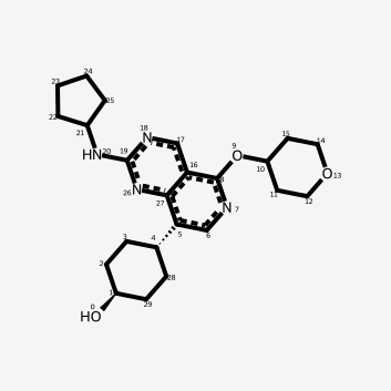 O[C@H]1CC[C@H](c2cnc(OC3CCOCC3)c3cnc(NC4CCCC4)nc32)CC1